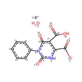 O.O=C([O-])c1[nH]c(=O)n(-c2ccccc2)c(=O)c1C(=O)O.[K+]